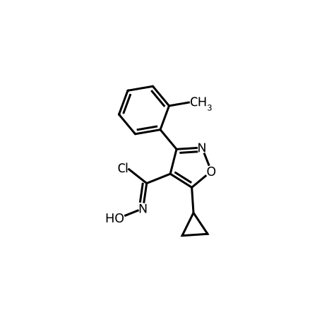 Cc1ccccc1-c1noc(C2CC2)c1/C(Cl)=N/O